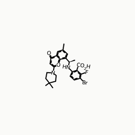 Cc1cc([C@@H](C)Nc2ccc(Br)c(F)c2C(=O)O)c2oc(N3CCC(C)(C)CC3)cc(=O)c2c1